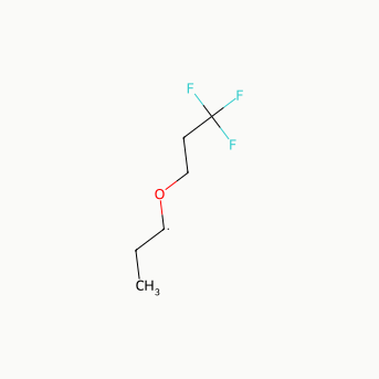 CC[CH]OCCC(F)(F)F